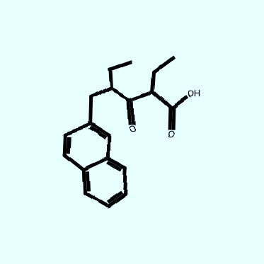 CCC(Cc1ccc2ccccc2c1)C(=O)C(CC)C(=O)O